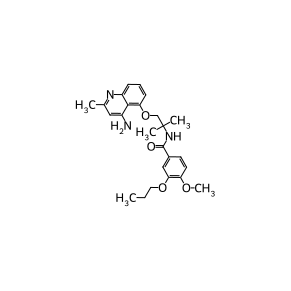 CCCOc1cc(C(=O)NC(C)(C)COc2cccc3nc(C)cc(N)c23)ccc1OC